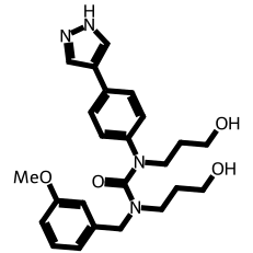 COc1cccc(CN(CCCO)C(=O)N(CCCO)c2ccc(-c3cn[nH]c3)cc2)c1